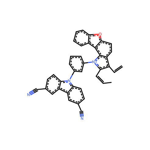 C=Cc1c(/C=C\C)n(-c2cccc(-n3c4ccc(C#N)cc4c4cc(C#N)ccc43)c2)c2c1ccc1oc3ccccc3c12